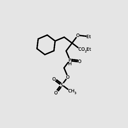 CCOC(=O)C(CC1CCCCC1)(C[PH](=O)COS(C)(=O)=O)OCC